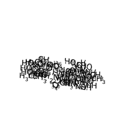 CC(c1ccccc1)[C@H](N)C(=O)N[C@@H](Cc1ccc(OC2OC(CO)C(OC3OC(CO)C(O)C4(O)C(C)(C)C34O)C3OC(C)(C)OC23)cc1)C(=O)N[C@H](C(=O)N[C@H](C(=O)N[C@H]([C]=O)CO)C(O)C1CNC(=N)N1C1OC(CO)C(O)C2OC(C)(C)OC21)C(O)C1CNC(=N)N1